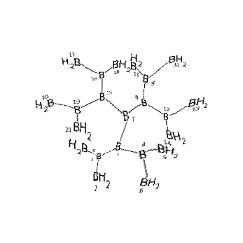 BB(B)B(B(B)B)B(B(B(B)B)B(B)B)B(B(B)B)B(B)B